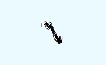 COc1cc2nn(C3CCN(C4CN(c5ccc6c(c5)C(=O)N(C5CCC(=O)NC5=O)C6=O)C4)CC3)cc2cc1NC(=O)c1cnn2cccnc12